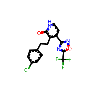 O=c1[nH]ccc(-c2noc(C(F)(F)F)n2)c1CCc1ccc(Cl)cc1